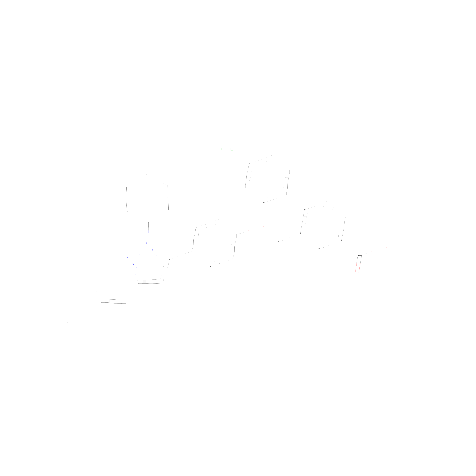 CC(=Cc1cc(-c2ccc(OCc3cc(C(=O)OC(C)(C)C)ccc3-c3ccc(Cl)cc3)cc2)n(C2CCCCC2)n1)C(=O)O